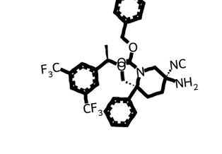 [C-]#[N+][C@]1(N)CC[C@@](CO[C@H](C)c2cc(C(F)(F)F)cc(C(F)(F)F)c2)(c2ccccc2)N(C(=O)OCc2ccccc2)C1